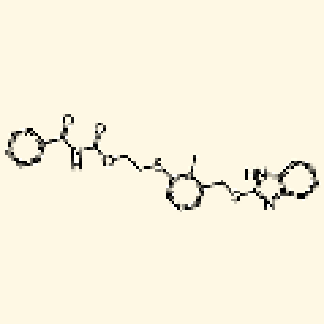 Cc1c(CSc2nc3ccccc3[nH]2)cccc1SCCOC(=O)NC(=O)c1ccccc1